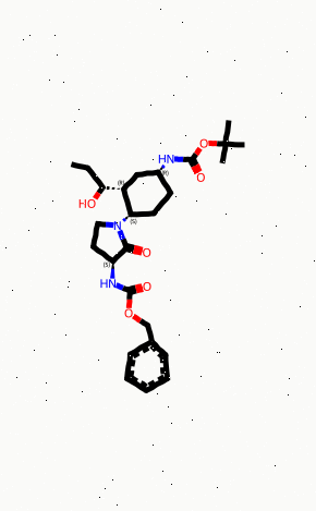 CCC(O)[C@@H]1C[C@H](NC(=O)OC(C)(C)C)CC[C@@H]1N1CC[C@H](NC(=O)OCc2ccccc2)C1=O